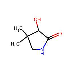 CC1(C)CNC(=O)C1O